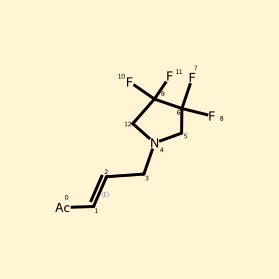 CC(=O)/C=C/CN1CC(F)(F)C(F)(F)C1